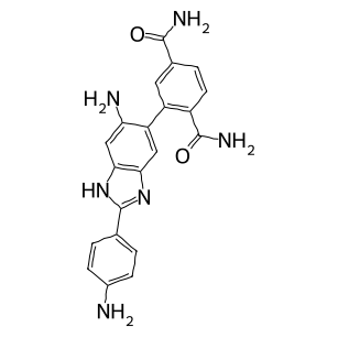 NC(=O)c1ccc(C(N)=O)c(-c2cc3nc(-c4ccc(N)cc4)[nH]c3cc2N)c1